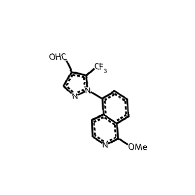 COc1nccc2c(-n3ncc(C=O)c3C(F)(F)F)cccc12